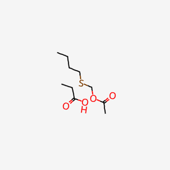 CCC(=O)O.CCCCSCOC(C)=O